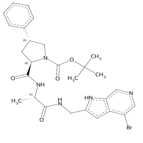 C[C@H](NC(=O)[C@H]1C[C@H](c2ccccc2)CN1C(=O)OC(C)(C)C)C(=O)NCc1cc2c(Br)cncc2[nH]1